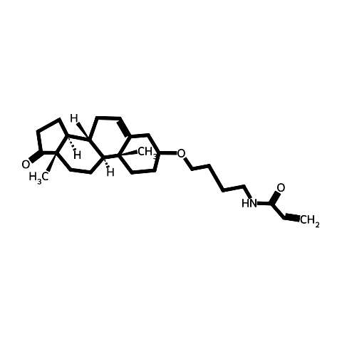 C=CC(=O)NCCCCOC1CC[C@@]2(C)C(=CC[C@@H]3[C@@H]2CC[C@]2(C)C(=O)CC[C@@H]32)C1